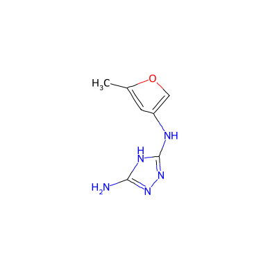 Cc1cc(Nc2nnc(N)[nH]2)co1